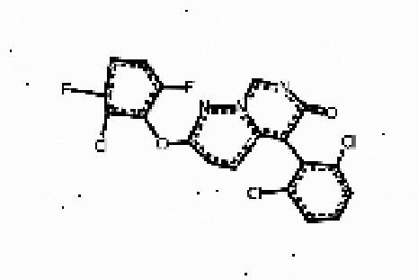 O=c1ncn2nc(Oc3c(F)ccc(F)c3Cl)ccc2c1-c1c(Cl)cccc1Cl